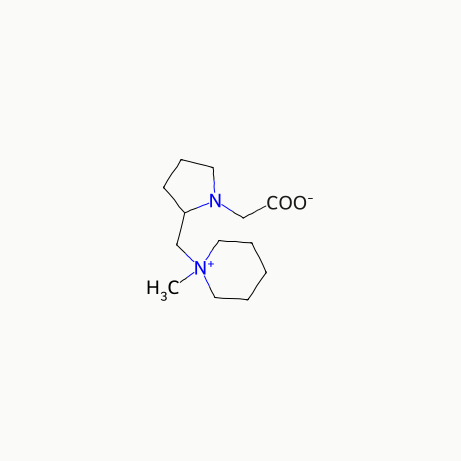 C[N+]1(CC2CCCN2CC(=O)[O-])CCCCC1